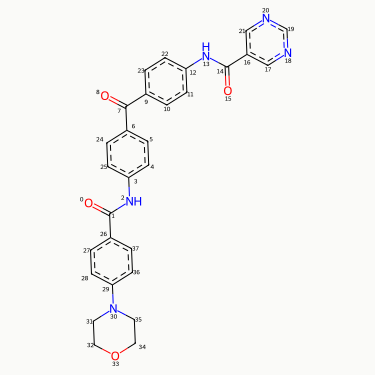 O=C(Nc1ccc(C(=O)c2ccc(NC(=O)c3cncnc3)cc2)cc1)c1ccc(N2CCOCC2)cc1